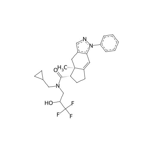 C[C@]12Cc3cnn(-c4ccccc4)c3C=C1CC[C@@H]2C(=O)N(CC1CC1)CC(O)C(F)(F)F